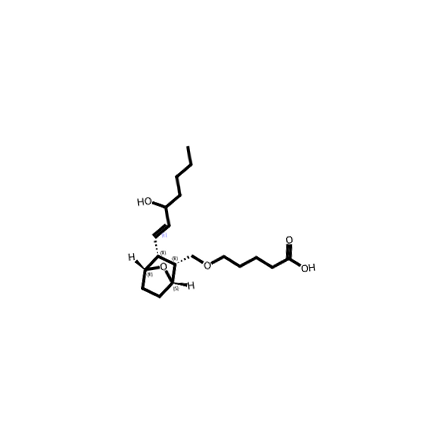 CCCCC(O)/C=C/[C@@H]1[C@H](COCCCCC(=O)O)[C@@H]2CC[C@H]1O2